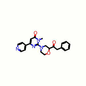 Cn1c(N2CCOC(C(=O)Cc3ccccc3)C2)nc(-c2ccncc2)cc1=O